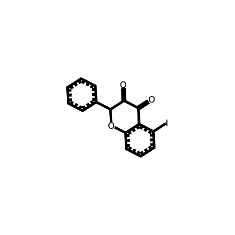 O=C1C(=O)C(c2ccccc2)Oc2cccc(I)c21